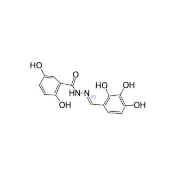 O=C(N/N=C/c1ccc(O)c(O)c1O)c1cc(O)ccc1O